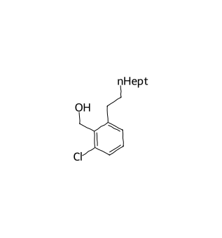 CCCCCCCCCc1cccc(Cl)c1CO